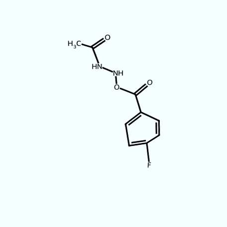 CC(=O)NNOC(=O)c1ccc(F)cc1